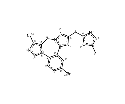 Cc1nnc(Cc2nc3n(n2)Cc2c(Cl)ncn2-c2ccc(Br)cc2-3)o1